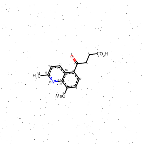 COc1ccc(C(=O)CCC(=O)O)c2ccc(C)nc12